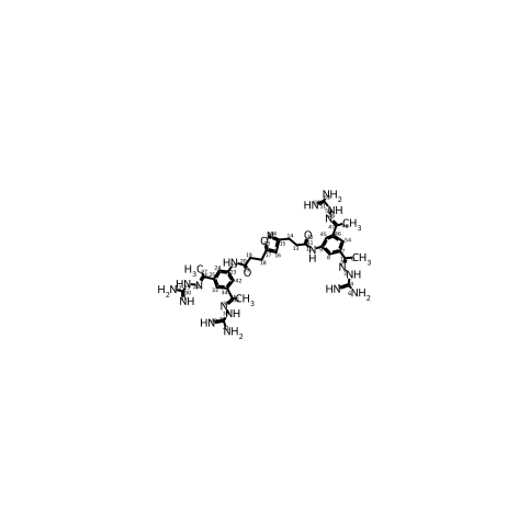 C/C(=N\NC(=N)N)c1cc(NC(=O)CCc2cc(CCC(=O)Nc3cc(/C(C)=N/NC(=N)N)cc(/C(C)=N/NC(=N)N)c3)on2)cc(/C(C)=N/NC(=N)N)c1